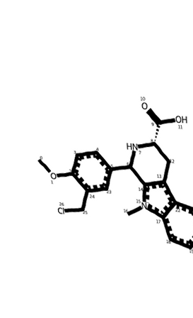 COc1ccc(C2N[C@H](C(=O)O)Cc3c2n(C)c2ccccc32)cc1CCl